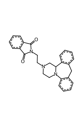 O=C1c2ccccc2C(=O)N1CCN1CCN2c3ccccc3Cc3ccccc3C2C1